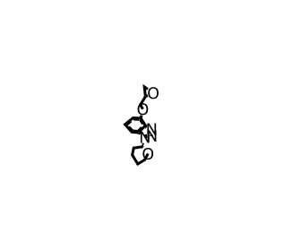 c1cc(OCC2CO2)c2nnn([C@@H]3CCCCO3)c2c1